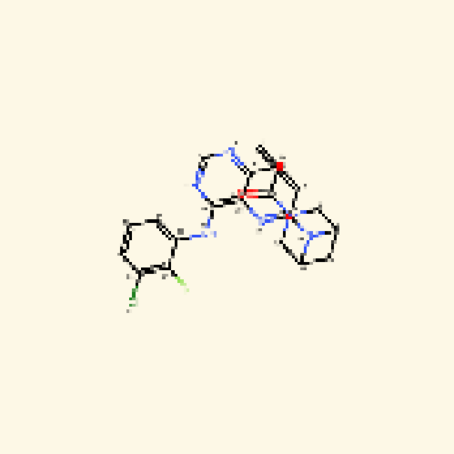 C=CC(=O)N1CC2CC(C1)N2c1ccc2ncnc(Nc3cccc(Cl)c3F)c2n1